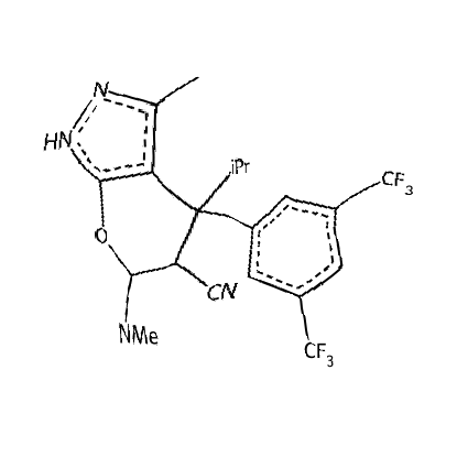 CNC1Oc2[nH]nc(C)c2C(c2cc(C(F)(F)F)cc(C(F)(F)F)c2)(C(C)C)C1C#N